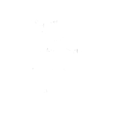 O=C(c1cccc(Cl)c1)c1c(Cl)cc2n1CCC2C(=O)O